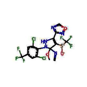 C=NC1(OC)C([S+]([O-])C(F)(F)F)=C(c2ncon2)NN1c1c(Cl)cc(C(F)(F)F)cc1Cl